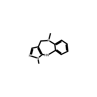 CN1Cc2cnn(C)c2Nc2ccccc21